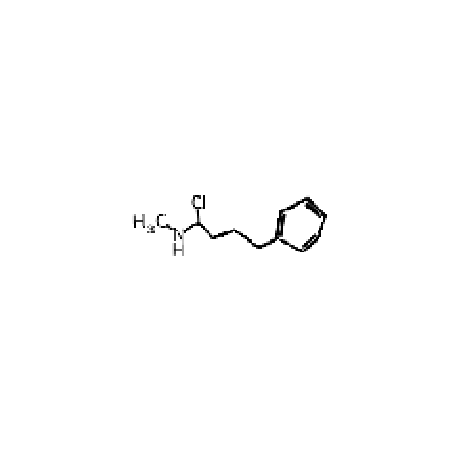 CNC(Cl)CCCc1ccccc1